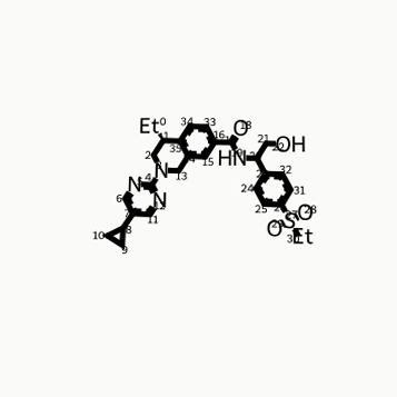 CC[C@@H]1CN(c2ncc(C3CC3)cn2)Cc2cc(C(=O)NC(CO)c3ccc(S(=O)(=O)CC)cc3)ccc21